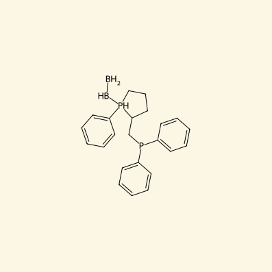 BB[PH]1(c2ccccc2)CCCC1CP(c1ccccc1)c1ccccc1